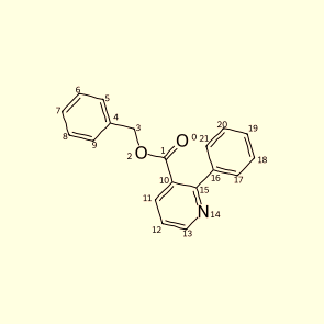 O=C(OCc1ccccc1)c1cccnc1-c1ccccc1